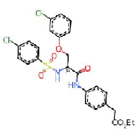 CCOC(=O)Cc1ccc(NC(=O)[C@H](COc2cccc(Cl)c2)NS(=O)(=O)c2ccc(Cl)cc2)cc1